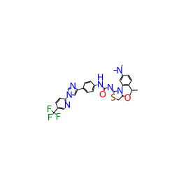 CC(C)c1ccc(N(C)C)cc1N1C(=O)CS/C1=N\C(=O)Nc1ccc(-c2cn(-c3ccc(C(F)(F)F)cn3)cn2)cc1